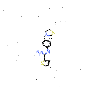 NC(=Nc1ccc(CN2CCSC2)cc1)c1cccs1